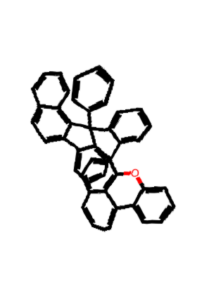 c1ccc(C2(c3ccccc3-c3ccc4cccc5c4c3Oc3ccccc3-5)c3ccccc3-c3ccc4ccccc4c32)cc1